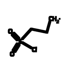 [CH2]CCS(=O)(=O)Cl